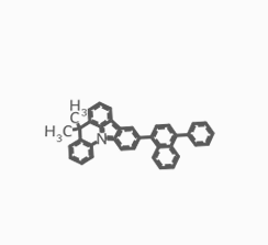 CC1(C)c2ccccc2-n2c3ccc(-c4ccc(-c5ccccc5)c5ccccc45)cc3c3cccc1c32